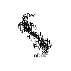 CCCCCCCCCCCC(=O)OCCN1C(=O)NC2(CC(C)(C)N(CC(O)COc3ccc(C(C)(C)c4ccc(OCC(O)CN5C(C)(C)CC6(CC5(C)C)NC(=O)N(CCOC(=O)CCCCCCCCCCC)C6=O)cc4)cc3)C(C)(C)C2)C1=O